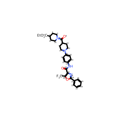 CCOC(=O)C1CCN(C(=O)C2CCN(c3ccc(NC(=O)c4nc(-c5ccccc5)oc4C(F)(F)F)cc3)CC2)CC1